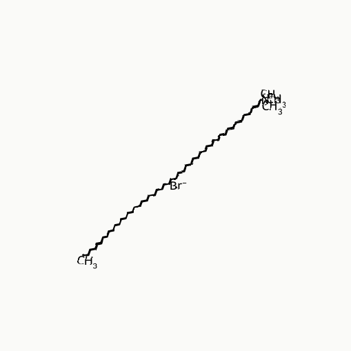 CCCCCCCCCCCCCCCCCCCCCCCCCCCCCCCCCCCCCCCCCCCCCCCCCCCC[N+](C)(C)C.[Br-]